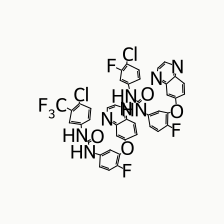 O=C(Nc1ccc(Cl)c(F)c1)Nc1ccc(F)c(Oc2ccc3nccnc3c2)c1.O=C(Nc1ccc(F)c(Oc2ccc3nccnc3c2)c1)Nc1ccc(Cl)c(C(F)(F)F)c1